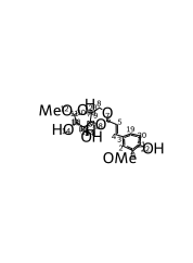 COc1cc(C=CC2OC[C@H]3OC(OC)[C@H](O)[C@@H](O)[C@@H]3O2)ccc1O